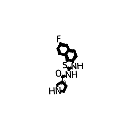 O=C(NC1Nc2ccc3cc(F)ccc3c2S1)[C@@H]1CCNC1